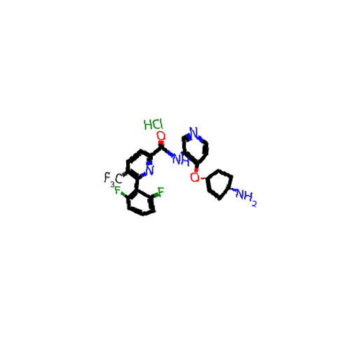 Cl.N[C@H]1CC[C@H](Oc2ccncc2NC(=O)c2ccc(C(F)(F)F)c(-c3c(F)cccc3F)n2)CC1